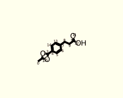 CC1OC(c2ccc(CCC(=O)O)cc2)O1